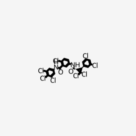 O=C(Nc1cc(Cl)c(Cl)c(Cl)c1)c1cc(NC(=O)[C@@H]2[C@@H](c3cc(Cl)cc(Cl)c3)C2(Cl)Cl)ccc1Cl